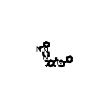 C=C(c1cc(CN2CCN(c3ccccc3C#N)CC2)c(C)cc1C)N1CCCC(c2ccccc2)C1